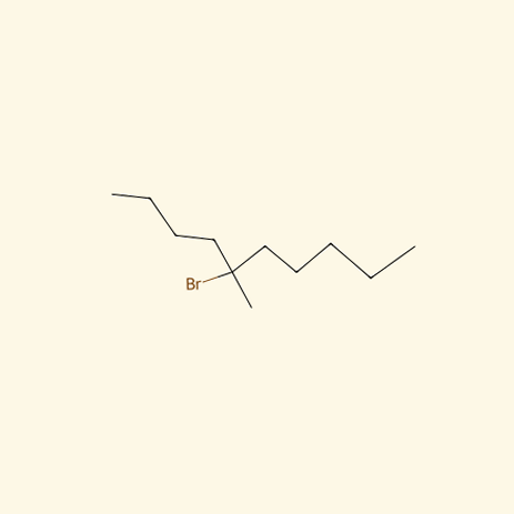 CCCCCC(C)(Br)CCCC